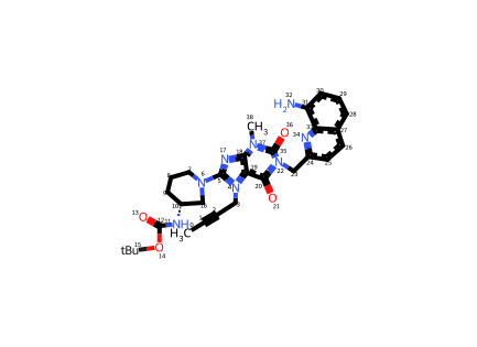 CC#CCn1c(N2CCC[C@@H](NC(=O)OC(C)(C)C)C2)nc2c1c(=O)n(Cc1ccc3cccc(N)c3n1)c(=O)n2C